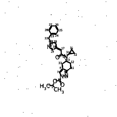 CC(C)OC(=O)n1cc2c(n1)CCC(N(C(=O)/C=C1\C=NN(Cc3ccccc3)C1)C1CC1)C2